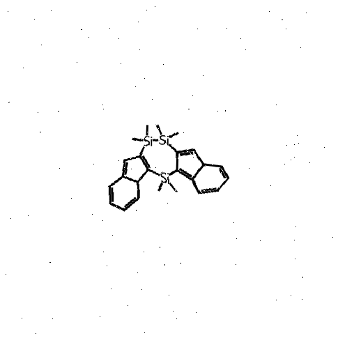 C[Si]1(C)C2=C3C=CC=CC3C=C2[Si](C)(C)[Si](C)(C)C2=C1C1C=CC=CC1=C2